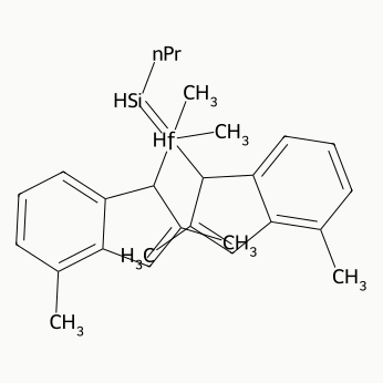 CCC[SiH]=[Hf]([CH3])([CH3])([CH]1C(C)=Cc2c(C)cccc21)[CH]1C(C)=Cc2c(C)cccc21